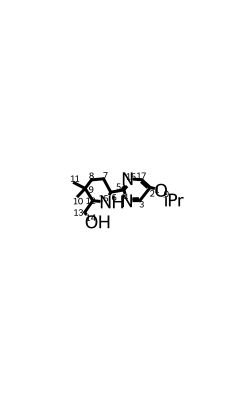 CC(C)Oc1cnc(C2CCC(C)(C)C(CO)N2)nc1